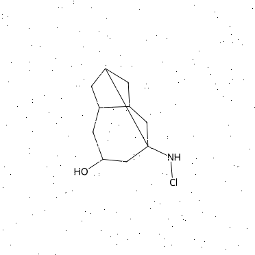 OC1CC2CC3CC2CC3(NCl)C1